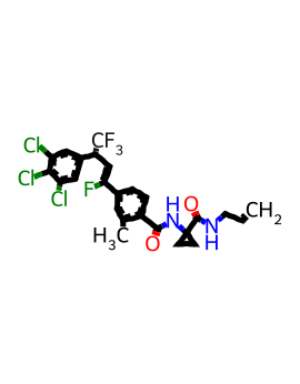 C=CCNC(=O)C1(NC(=O)c2ccc(/C(F)=C/C(c3cc(Cl)c(Cl)c(Cl)c3)C(F)(F)F)cc2C)CC1